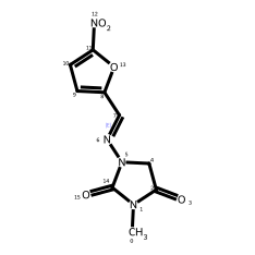 CN1C(=O)CN(/N=C/c2ccc([N+](=O)[O-])o2)C1=O